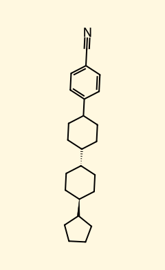 N#Cc1ccc(C2CCC([C@H]3CC[C@H](C4CCCC4)CC3)CC2)cc1